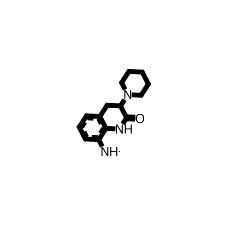 [NH]c1cccc2c1NC(=O)C(N1CCCCC1)C2